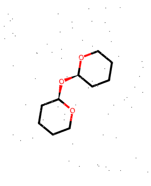 C1CC[C@@H](O[C@@H]2CCCCO2)OC1